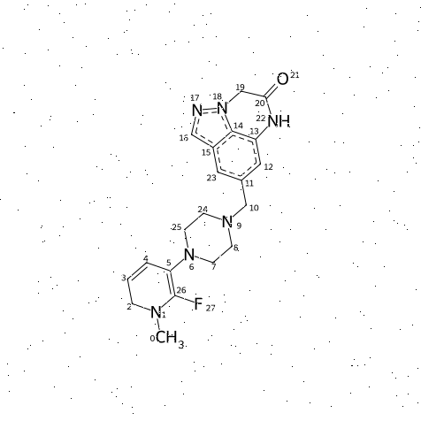 CN1CC=CC(N2CCN(Cc3cc4c5c(cnn5CC(=O)N4)c3)CC2)=C1F